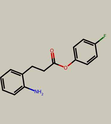 Nc1ccccc1CCC(=O)Oc1ccc(F)cc1